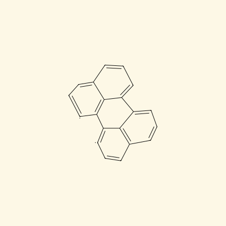 [c]1ccc2cccc3c4cccc5cc[c]c(c1c23)c54